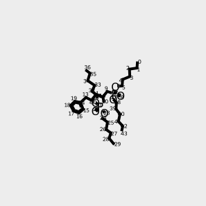 CCCCCCOP(=O)(CC(CCCc1ccccc1)CP(=O)(OCCCCCC)OCCCCCC)OCCCCCC